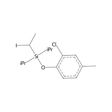 Cc1ccc(O[Si](C(C)C)(C(C)C)C(C)I)c(Cl)c1